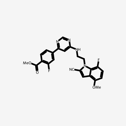 COC(=O)c1ccc(-c2cc(NCCn3c(C#N)cc4c(OC)ccc(F)c43)ncn2)cc1F